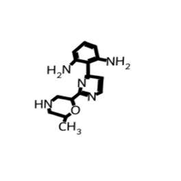 CC1CNCC(c2nccc(-c3c(N)cccc3N)n2)O1